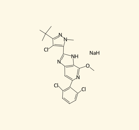 COc1nc(-c2c(Cl)cccc2Cl)cc2nc(-c3c(Cl)c(C(C)(C)C)nn3C)[nH]c12.[NaH]